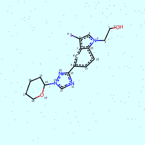 OCCn1cc(I)c2cc(-c3ncn(C4CCCCO4)n3)ccc21